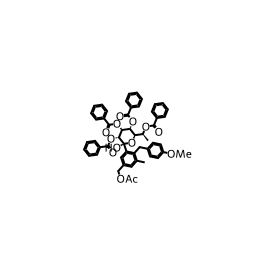 COc1ccc(Cc2c(C)cc(COC(C)=O)cc2[C@@]2(O)O[C@H]([C@H](C)OC(=O)c3ccccc3)[C@@H](OC(=O)c3ccccc3)[C@H](OC(=O)c3ccccc3)[C@H]2OC(=O)c2ccccc2)cc1